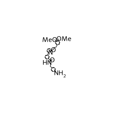 COc1ccc(CCOc2cccc(-c3cccc(C(=O)NCCc4ccc(N)cc4)c3)n2)cc1OC